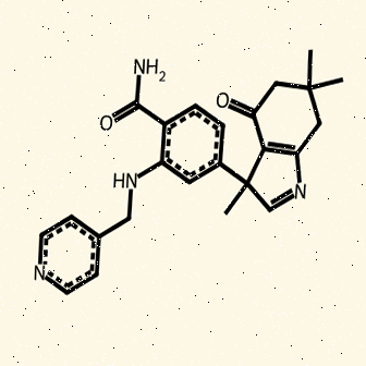 CC1(C)CC(=O)C2=C(C1)N=CC2(C)c1ccc(C(N)=O)c(NCc2ccncc2)c1